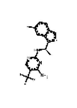 C[C@@H](Nc1ncc(C(F)(F)F)c(N)n1)c1occ2ccc(F)cc12